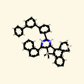 C[Si]1(C)c2c(-c3cccc4ccccc34)nc(-c3cccc(-c4cccc(-c5ccccc5)c4)c3)nc2-c2c1c1ccccc1c1ccccc21